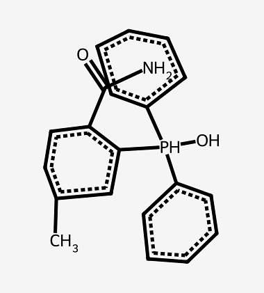 Cc1ccc(C(N)=O)c([PH](O)(c2ccccc2)c2ccccc2)c1